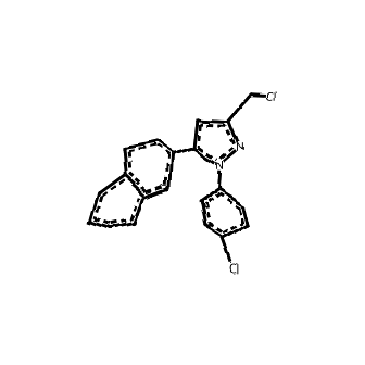 ClCc1cc(-c2ccc3ccccc3c2)n(-c2ccc(Cl)cc2)n1